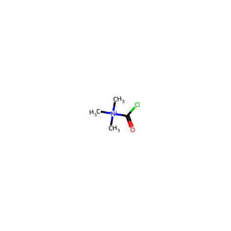 C[N+](C)(C)C(=O)Cl